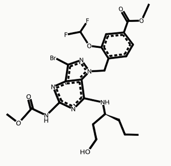 CCC[C@@H](CCO)Nc1nc(NC(=O)OC)nc2c(Br)nn(Cc3ccc(C(=O)OC)cc3OC(F)F)c12